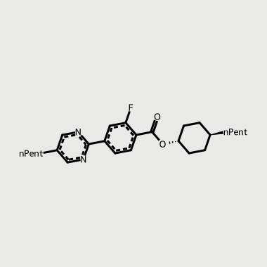 CCCCCc1cnc(-c2ccc(C(=O)O[C@H]3CC[C@H](CCCCC)CC3)c(F)c2)nc1